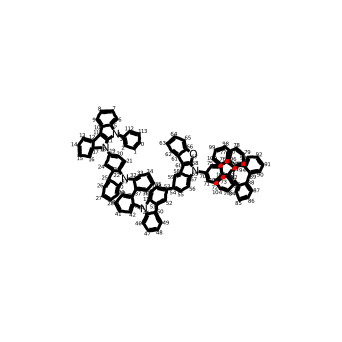 c1ccc(-n2c3ccccc3c3c4ccccc4n(-c4ccc5c(c4)c4ccccc4n5-c4ccccc4-c4ccccc4-n4c5ccccc5c5cc(-c6ccc7c(c6)c6c8ccccc8oc6n7-c6ccc7c(c6)c6ccccc6n7-c6ccccc6-c6ccccc6-n6c7ccccc7c7ccccc76)ccc54)c32)cc1